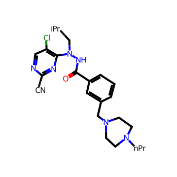 CCCN1CCN(Cc2cccc(C(=O)NN(CC(C)C)c3nc(C#N)ncc3Cl)c2)CC1